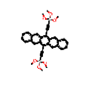 CO[Si](C#Cc1c2cc3ccccc3cc2c(C#C[Si](OC)(OC)OC)c2cc3ccccc3cc12)(OC)OC